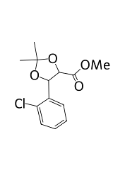 COC(=O)C1OC(C)(C)OC1c1ccccc1Cl